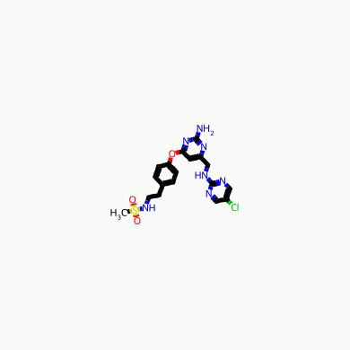 CS(=O)(=O)NCCc1ccc(Oc2cc(CNc3ncc(Cl)cn3)nc(N)n2)cc1